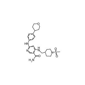 CS(=O)(=O)N1CCC(CNc2cc(Nc3ccc(C4CCOCC4)cc3)ncc2C(N)=O)CC1